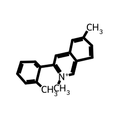 Cc1ccc2c[n+](C)c(-c3ccccc3C)cc2c1